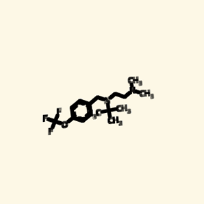 CN(C)CCN(Cc1ccc(OC(F)(F)F)cc1)C(C)(C)C